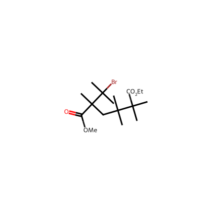 CCOC(=O)C(C)(C)C(C)(C)CC(C)(C(=O)OC)C(C)(C)Br